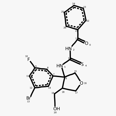 O=C(NC(=S)NC1(c2cc(F)cc(Br)c2)COCC1CO)c1ccccc1